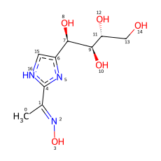 CC(=NO)c1nc([C@@H](O)[C@H](O)[C@H](O)CO)c[nH]1